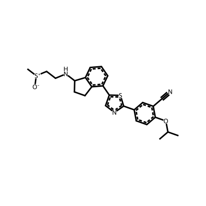 CC(C)Oc1ccc(-c2ncc(-c3cccc4c3CCC4NCC[S+](C)[O-])s2)cc1C#N